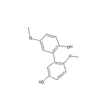 COc1ccc(O)c(-c2cc(O)ccc2OC)c1